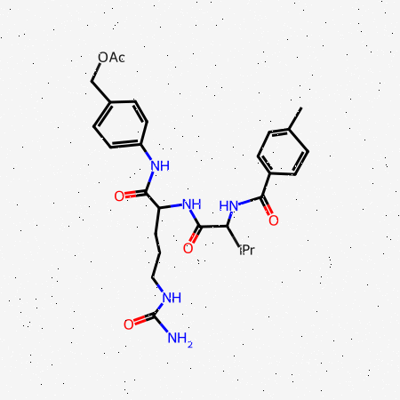 CC(=O)OCc1ccc(NC(=O)C(CCCNC(N)=O)NC(=O)C(NC(=O)c2ccc(C)cc2)C(C)C)cc1